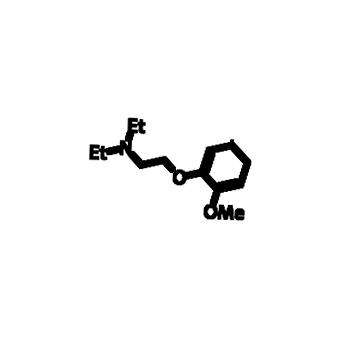 CCN(CC)CCOC1=C[CH]CC=C1OC